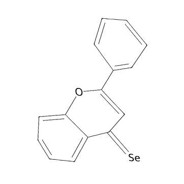 [Se]=c1cc(-c2ccccc2)oc2ccccc12